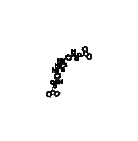 O=C(Nc1ccc(NC(=S)NC(=S)Nc2ccc(NC(=O)OCC3c4ccccc4-c4ccccc43)cc2)cc1)OCC1c2ccccc2-c2ccccc21